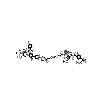 Cc1ncsc1-c1ccc([C@H](C)NC(=O)[C@@H]2C[C@@H](O)CN2C(=O)[C@@H](NC(=O)CCOCCOCCC(=O)N2CCN(c3ncc(-c4cc(NC(=O)c5ccc(F)cc5C(F)(F)F)c(N5C[C@@H](C)N(C)[C@@H](C)C5)cc4F)cn3)CC2)C(C)(C)C)cc1